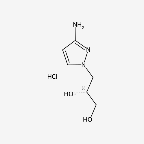 Cl.Nc1ccn(C[C@@H](O)CO)n1